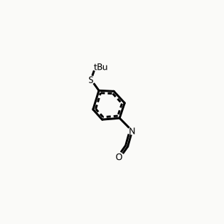 CC(C)(C)Sc1ccc(N=C=O)cc1